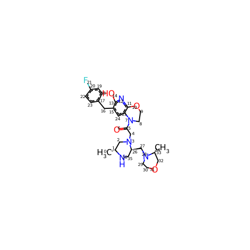 C[C@@H]1CN(CC(=O)N2CCOc3nc(O)c(Cc4ccc(F)cc4)cc32)[C@@H](CN2CCOC[C@H]2C)CN1